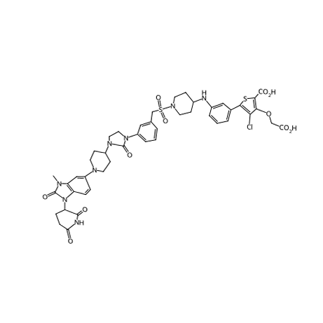 Cn1c(=O)n(C2CCC(=O)NC2=O)c2ccc(N3CCC(N4CCN(c5cccc(CS(=O)(=O)N6CCC(Nc7cccc(-c8sc(C(=O)O)c(OCC(=O)O)c8Cl)c7)CC6)c5)C4=O)CC3)cc21